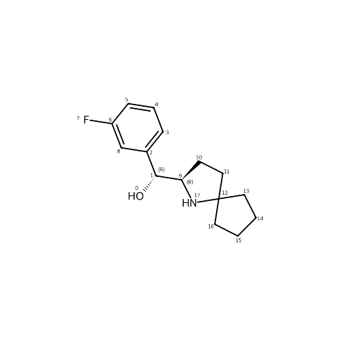 O[C@H](c1cccc(F)c1)[C@H]1CCC2(CCCC2)N1